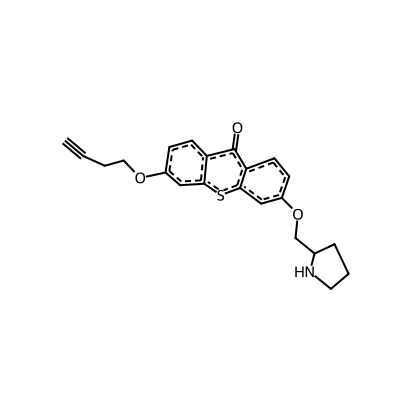 C#CCCOc1ccc2c(=O)c3ccc(OCC4CCCN4)cc3sc2c1